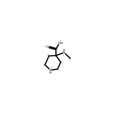 CNC1(C(=O)O)CCNCC1